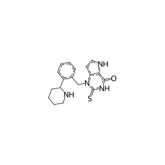 O=c1[nH]c(=S)n(Cc2ccccc2C2CCCCN2)c2cc[nH]c12